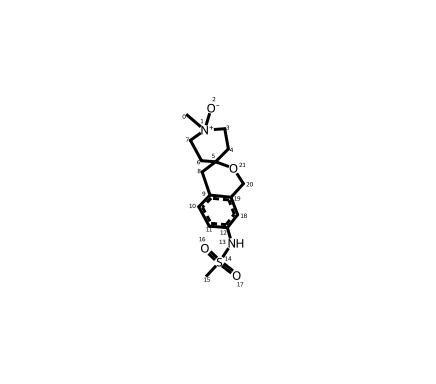 C[N+]1([O-])CCC2(CC1)Cc1ccc(NS(C)(=O)=O)cc1CO2